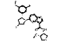 CO[C@H]1CNC[C@@H]1NC(=O)c1cnc2ccc(N3C[C@@H](F)C[C@@H]3c3cc(F)cc(SC)c3)nn12